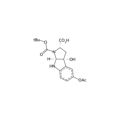 CC(=O)Oc1ccc2c(c1)[C@]1(O)C[C@@H](C(=O)O)N(C(=O)OC(C)(C)C)[C@@H]1N2